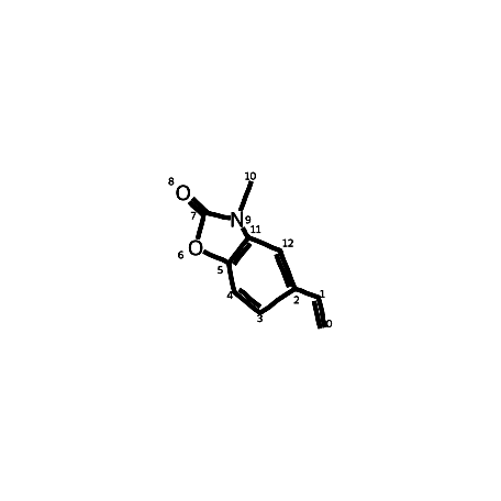 C=Cc1ccc2oc(=O)n(C)c2c1